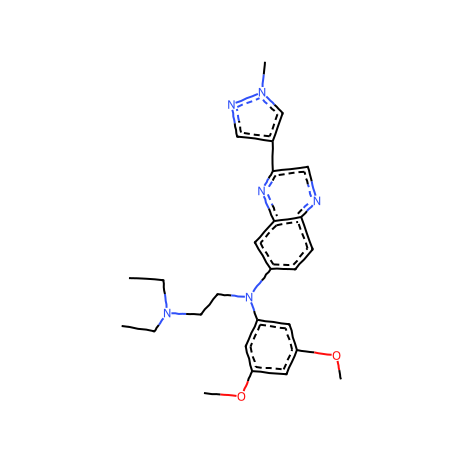 CCN(CC)CCN(c1cc(OC)cc(OC)c1)c1ccc2ncc(-c3cnn(C)c3)nc2c1